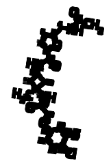 CC(=O)NCc1ccc(C(=O)NC2CC(C)(NC(=O)COc3ccc(Cl)c(F)c3)C2)o1